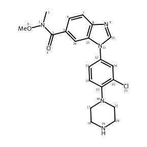 CON(C)C(=O)c1ccc2ncn(-c3ccc(N4CCNCC4)c(Cl)c3)c2c1